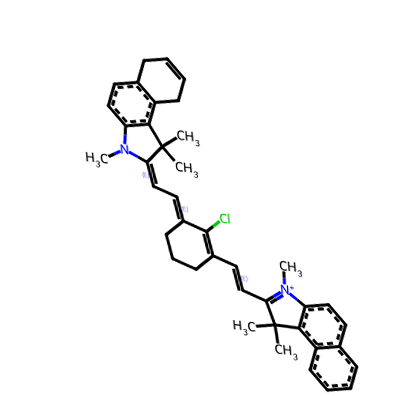 CN1/C(=C/C=C2\CCCC(/C=C/C3=[N+](C)c4ccc5ccccc5c4C3(C)C)=C2Cl)C(C)(C)c2c1ccc1c2CC=CC1